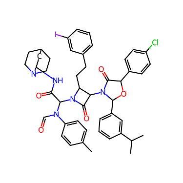 Cc1ccc(N(C=O)C(C(=O)NC2CC3CCN2CC3)N2C(=O)C(N3C(=O)C(c4ccc(Cl)cc4)OC3c3cccc(C(C)C)c3)C2CCc2cccc(I)c2)cc1